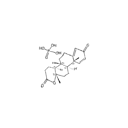 C[C@]12C=CC(=O)C=C1CC[C@@H]1[C@@H]2CC[C@]2(C)OC(=O)CC[C@@H]12.O=P(O)(O)O